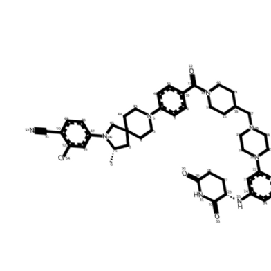 C[C@H]1CC2(CCN(c3ccc(C(=O)N4CCC(CN5CCN(c6cc(N[C@H]7CCC(=O)NC7=O)ccn6)CC5)CC4)cc3)CC2)CN1c1ccc(C#N)c(Cl)c1